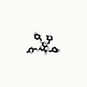 CC1CCC(COC(=O)CC(C(=O)OCC2CCC3OC3C2)C(CC(=O)OCC2CCC3OC3C2)C(=O)OCC2CCOC(C)C2)CO1